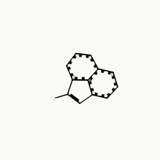 O=[N+]([O-])C1=[C]c2cccc3cccc1c23